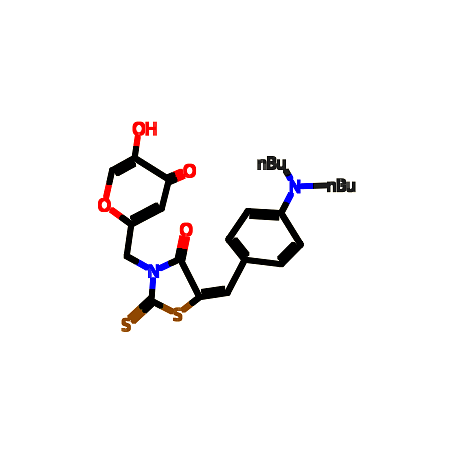 CCCCN(CCCC)c1ccc(C=C2SC(=S)N(Cc3cc(=O)c(O)co3)C2=O)cc1